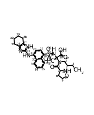 CCCCN(C(=O)C1CCON1)C(C)(NS(=O)(=O)c1ccc(Nc2nc3c([nH]2)CCCC3)c2ccccc12)C(=O)O